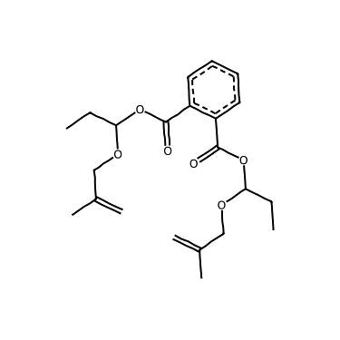 C=C(C)COC(CC)OC(=O)c1ccccc1C(=O)OC(CC)OCC(=C)C